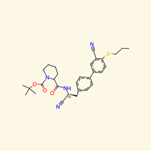 CCCSc1ccc(-c2ccc(C[C@@H](C#N)NC(=O)C3CCCCN3C(=O)OC(C)(C)C)cc2)cc1C#N